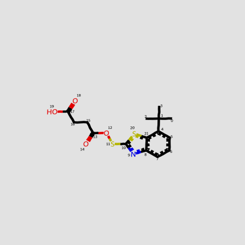 CC(C)(C)c1cccc2nc(SOC(=O)CCC(=O)O)sc12